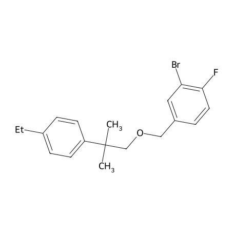 CCc1ccc(C(C)(C)COCc2ccc(F)c(Br)c2)cc1